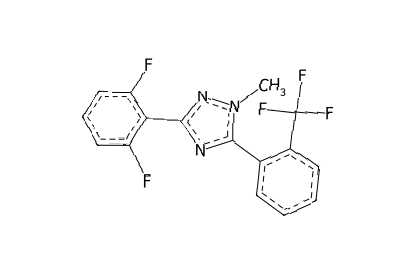 Cn1nc(-c2c(F)cccc2F)nc1-c1ccccc1C(F)(F)F